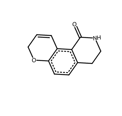 O=C1NCCc2ccc3c(c21)C=CCO3